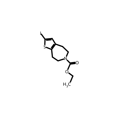 CCOC(=O)N1CCc2cc(I)sc2CC1